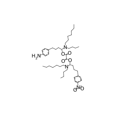 CCCCCCCN(CCCC)C(CCCc1ccc(N)cc1)OC(=O)C(=O)OC(CCCc1ccc([N+](=O)[O-])cc1)N(CCCC)CCCCCCC